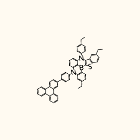 CCc1ccc(N2c3cccc4c3B(c3ccc(CC)cc3N4c3ccc(-c4ccc5c6ccccc6c6ccccc6c5c4)cc3)c3sc4ccc(CC)cc4c32)cc1